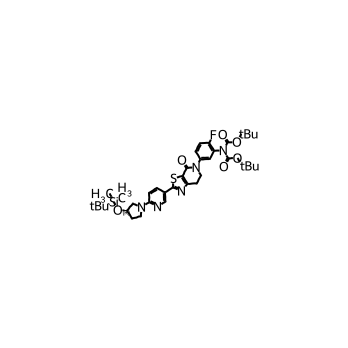 CC(C)(C)OC(=O)N(C(=O)OC(C)(C)C)c1cc(N2CCc3nc(-c4ccc(N5CC[C@@H](O[Si](C)(C)C(C)(C)C)C5)nc4)sc3C2=O)ccc1F